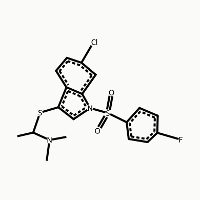 CC(Sc1cn(S(=O)(=O)c2ccc(F)cc2)c2cc(Cl)ccc12)N(C)C